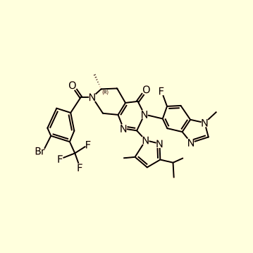 Cc1cc(C(C)C)nn1-c1nc2c(c(=O)n1-c1cc3ncn(C)c3cc1F)C[C@@H](C)N(C(=O)c1ccc(Br)c(C(F)(F)F)c1)C2